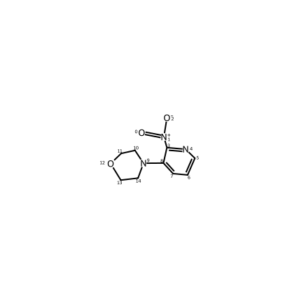 O=[N+]([O-])c1ncccc1N1CCOCC1